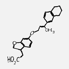 C/C(=C\COc1ccc2c(c1)OCC2CC(=O)O)c1ccc2c(c1)CCCC2